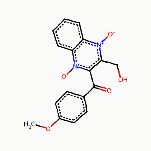 COc1ccc(C(=O)c2c(CO)[n+]([O-])c3ccccc3[n+]2[O-])cc1